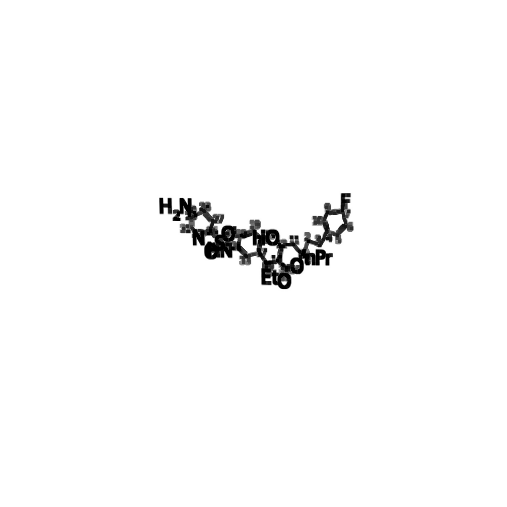 CCC[C@]1(CCc2ccc(F)cc2)CC(O)=C([C@H](CC)c2cccc(NS(=O)(=O)c3ccc(N)cn3)c2)C(=O)O1